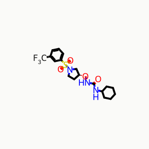 O=C(NO[C@@H]1CCN(S(=O)(=O)c2cccc(C(F)(F)F)c2)C1)NC1CCCCC1